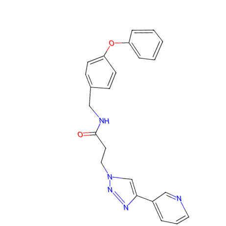 O=C(CCn1cc(-c2cccnc2)nn1)NCc1ccc(Oc2ccccc2)cc1